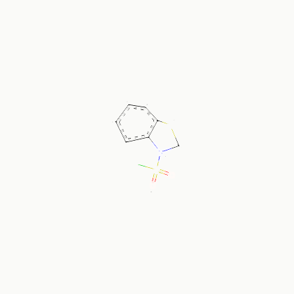 O=S(=O)(Cl)N1CSc2ccccc21